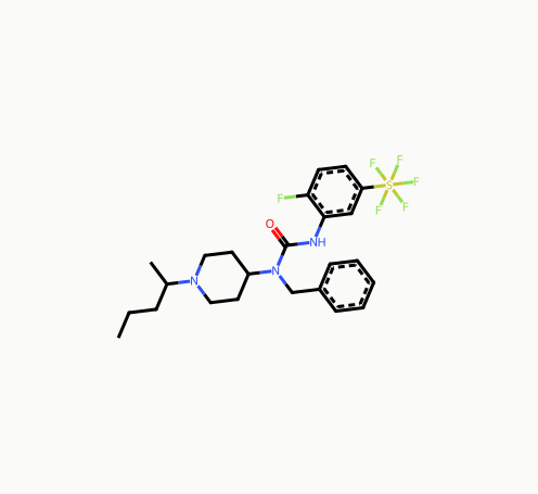 CCCC(C)N1CCC(N(Cc2ccccc2)C(=O)Nc2cc(S(F)(F)(F)(F)F)ccc2F)CC1